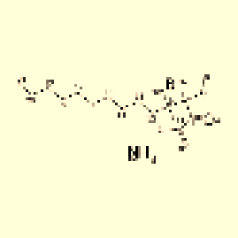 C=C(C)C(=O)C(Br)(CC)C(C)(C)CCCCCCCCCC.N